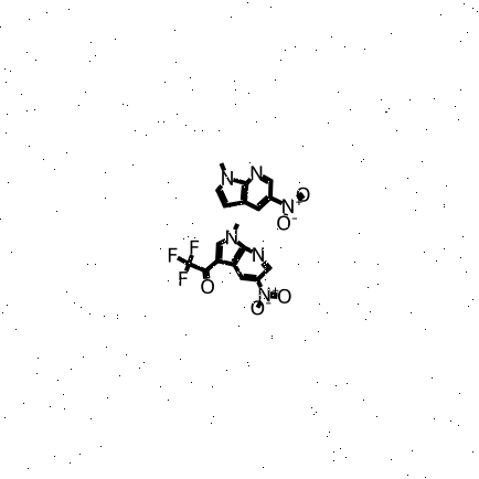 Cn1cc(C(=O)C(F)(F)F)c2cc([N+](=O)[O-])cnc21.Cn1ccc2cc([N+](=O)[O-])cnc21